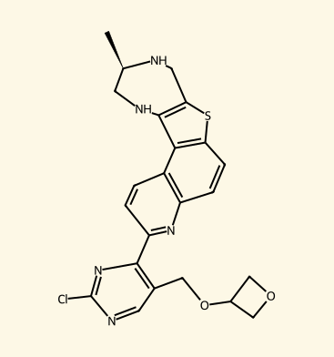 C[C@@H]1CNc2c(sc3ccc4nc(-c5nc(Cl)ncc5COC5COC5)ccc4c23)CN1